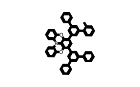 Cc1ccccc1-c1cc(-c2ccccc2)cc(-c2cc(-c3cc(-c4ccccc4)cc(-c4ccccc4)c3)c3c4c2Oc2ccccc2B4c2ccccc2O3)c1